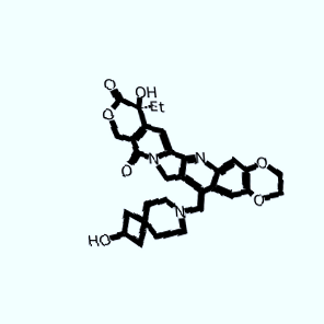 CC[C@@]1(O)C(=O)OCc2c1cc1n(c2=O)Cc2c-1nc1cc3c(cc1c2CN1CCC2(CC1)CC(O)C2)OCCO3